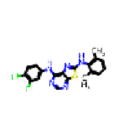 Cc1cccc(C)c1Nc1nc2c(Nc3ccc(Cl)c(Cl)c3)ncnc2s1